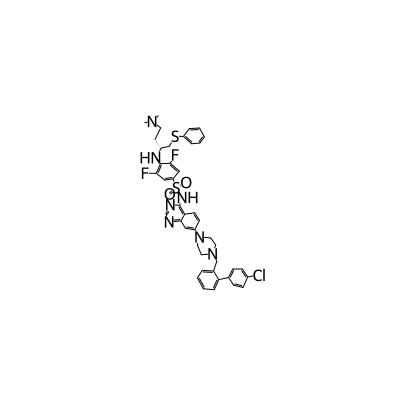 CN(C)CC[C@H](CSc1ccccc1)Nc1c(F)cc(S(=O)(=O)Nc2ncnc3cc(N4CCN(Cc5ccccc5-c5ccc(Cl)cc5)CC4)ccc23)cc1F